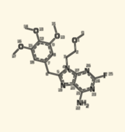 COCCn1c(Cc2cc(OC)c(OC)c(OC)c2)nc2c(N)nc(F)nc21